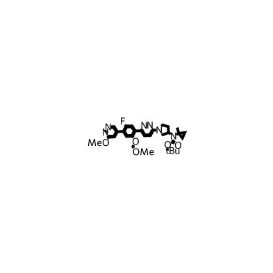 COCOc1cc(-c2cnnc(OC)c2)c(F)cc1-c1ccc(N2CCC(N(C(=O)OC(C)(C)C)C3(C)CC3)C2)nn1